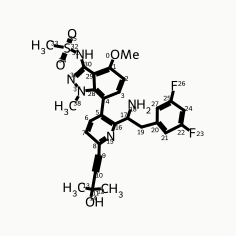 COc1ccc(-c2ccc(C#CC(C)(C)O)nc2C(N)Cc2cc(F)cc(F)c2)c2c1c(NS(C)(=O)=O)nn2C